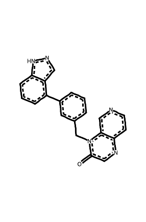 O=c1cnc2ccncc2n1Cc1cccc(-c2cccc3[nH]ncc23)c1